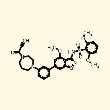 C#CC(=O)N1CCCN(c2cccc(-c3cc(OC)c4c(NS(=O)(=O)c5c(OC)cccc5OC)noc4c3)c2)CC1